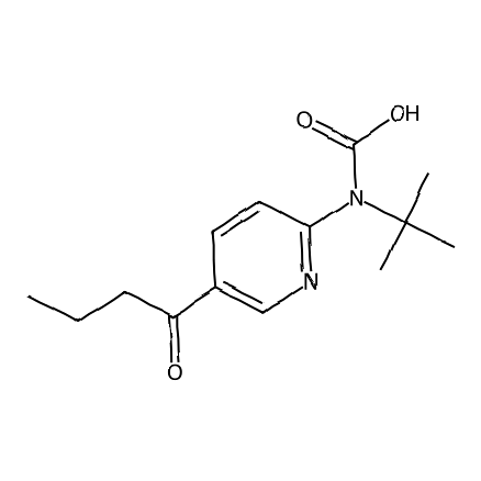 CCCC(=O)c1ccc(N(C(=O)O)C(C)(C)C)nc1